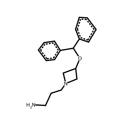 NCCCN1CC(OC(c2ccccc2)c2ccccc2)C1